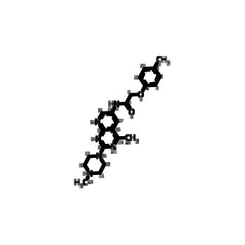 Cc1ccc(OCC(=O)Nc2cnc3nc(N4CCN(C)CC4)nc(C)c3c2)cc1